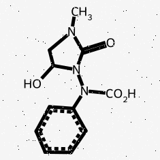 CN1CC(O)N(N(C(=O)O)c2ccccc2)C1=O